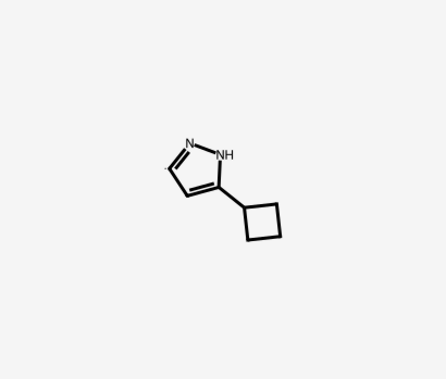 [c]1cc(C2CCC2)[nH]n1